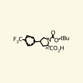 CC(C)(C)OC(=O)N1CC(c2ccc(C(F)(F)F)cc2)C[C@@H]1C(=O)O